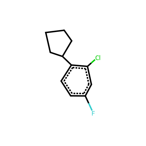 Fc1ccc(C2CCCC2)c(Cl)c1